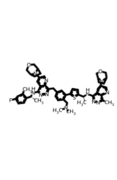 Cc1cc(F)ccc1[C@@H](C)Nc1nnc(Cc2ccc(CN(C)C)c(-c3ccc([C@@H](C)Nc4nnc(C)c5ncc(N6C7CCC6COC7)cc45)s3)c2)c2ncc(N3C4CCC3COC4)cc12